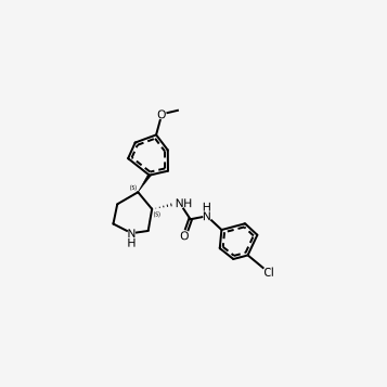 COc1ccc([C@@H]2CCNC[C@H]2NC(=O)Nc2ccc(Cl)cc2)cc1